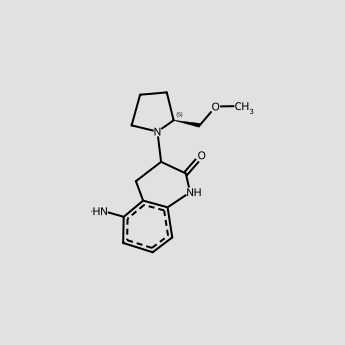 COC[C@@H]1CCCN1C1Cc2c([NH])cccc2NC1=O